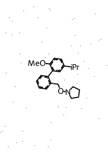 COc1ccc(C(C)C)cc1-c1ccccc1CON1CCCC1